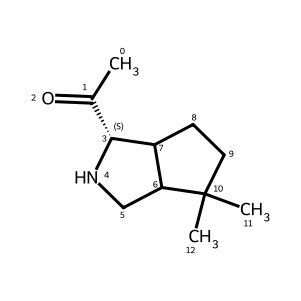 CC(=O)[C@H]1NCC2C1CCC2(C)C